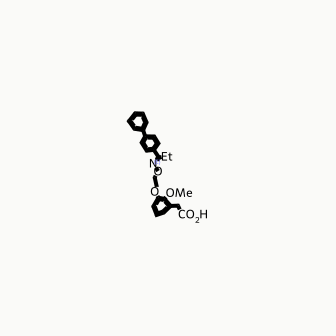 CC/C(=N\OCCOc1cccc(CC(=O)O)c1OC)c1ccc(-c2ccccc2)cc1